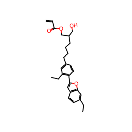 C=CC(=O)OCC(CO)CCCCc1ccc(-c2cc3ccc(CC)cc3o2)c(CC)c1